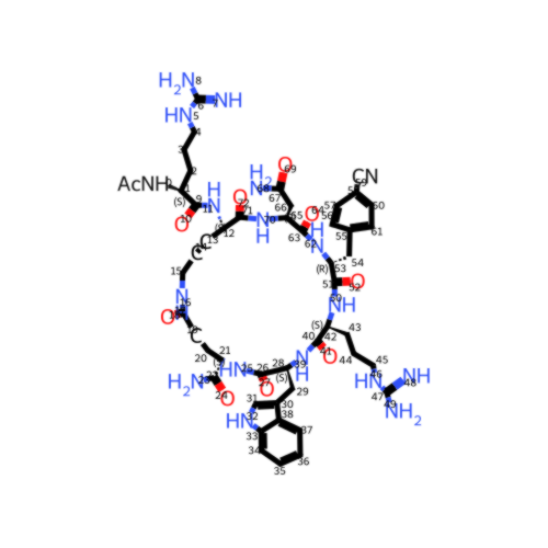 CC(=O)N[C@@H](CCCNC(=N)N)C(=O)N[C@H]1CCCNC(=O)CC[C@@H](C(N)=O)NC(=O)[C@H](Cc2c[nH]c3ccccc23)NC(=O)[C@H](CCCNC(=N)N)NC(=O)[C@@H](Cc2ccc(C#N)cc2)NC(=O)[C@H](CC(N)=O)NC1=O